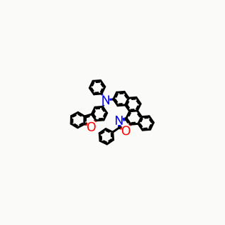 c1ccc(-c2nc3c(o2)c2ccccc2c2ccc4ccc(N(c5ccccc5)c5ccc6oc7ccccc7c6c5)cc4c23)cc1